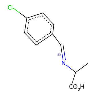 CC(/N=C/c1ccc(Cl)cc1)C(=O)O